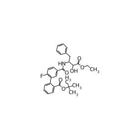 CCOC(=O)C(O)C(Cc1ccccc1)NC(=O)c1ccc(F)c(-c2ccccc2C(=O)OC(C)(C)C)c1